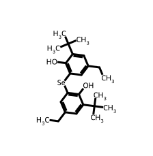 CCc1cc([Se]c2cc(CC)cc(C(C)(C)C)c2O)c(O)c(C(C)(C)C)c1